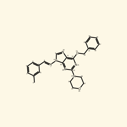 Cc1cccc(C=Nn2cnc3c(OCc4ccccc4)nc(N4CCOCC4)nc32)c1